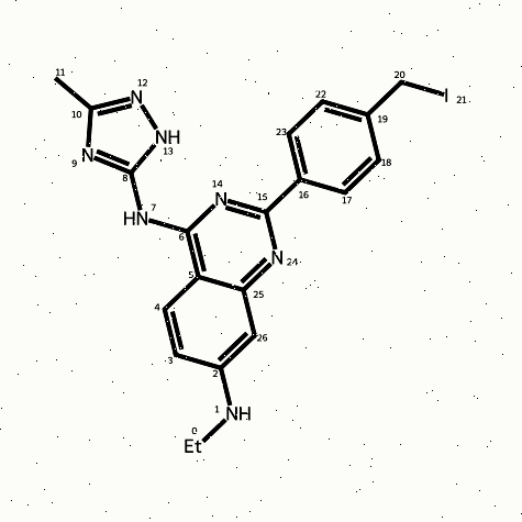 CCNc1ccc2c(Nc3nc(C)n[nH]3)nc(-c3ccc(CI)cc3)nc2c1